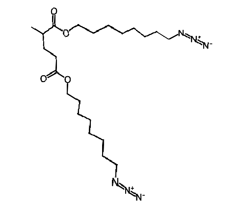 CC(CCC(=O)OCCCCCCCCN=[N+]=[N-])C(=O)OCCCCCCCCN=[N+]=[N-]